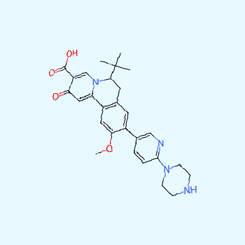 COc1cc2c(cc1-c1ccc(N3CCNCC3)nc1)CC(C(C)(C)C)n1cc(C(=O)O)c(=O)cc1-2